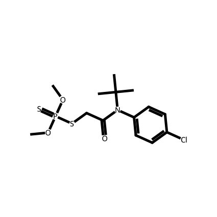 COP(=S)(OC)SCC(=O)N(c1ccc(Cl)cc1)C(C)(C)C